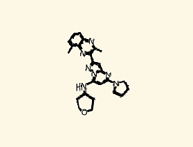 Cc1nc2cccc(C)c2nc1-c1cc2nc(N3CCCC3)cc(NC3CCOCC3)n2n1